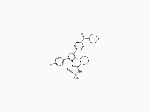 N#CC1(NC(=O)[C@@H]2CCCC[C@H]2c2nc(-c3ccc(F)cc3)sc2-c2ccc(C(=O)N3CCOCC3)cc2)CC1